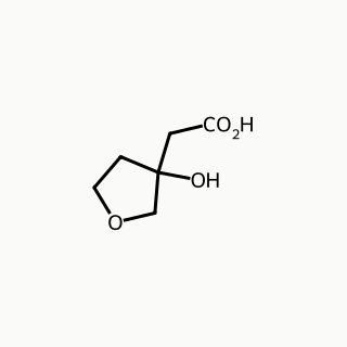 O=C(O)CC1(O)CCOC1